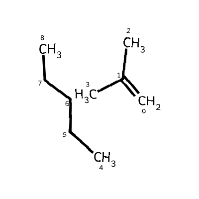 C=C(C)C.CCCCC